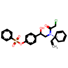 C=C[C@@]1(N(CC(O)c2ccc(OS(=O)(=O)c3ccccc3)cc2)C(=O)CCl)C=CC=CC1